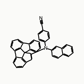 N#Cc1ccc(N(c2ccc3ccccc3c2)C2CCC3c4cccc5c4C4(c6ccccc6-c6cccc-5c64)C3C2)cc1